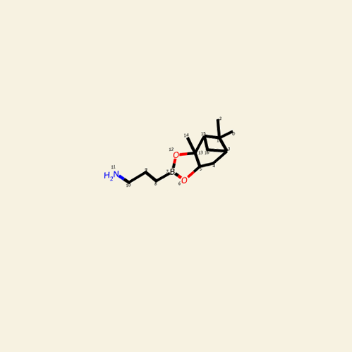 CC1(C)C2CC3OB(CCCN)OC3(C)C1C2